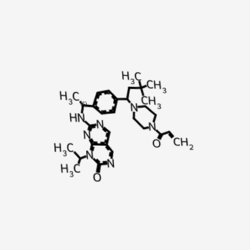 C=CC(=O)N1CCN(C(CC(C)(C)C)c2ccc([C@H](C)Nc3ncc4cnc(=O)n(C(C)C)c4n3)cc2)CC1